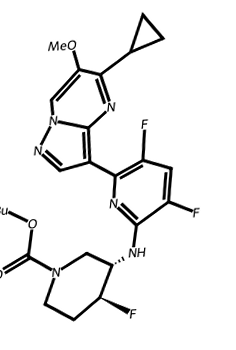 COc1cn2ncc(-c3nc(N[C@H]4CN(C(=O)OC(C)(C)C)CC[C@@H]4F)c(F)cc3F)c2nc1C1CC1